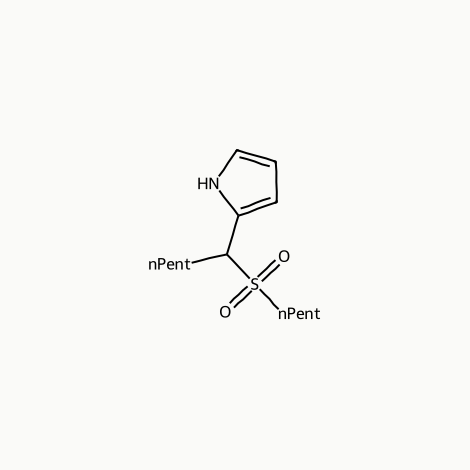 CCCCCC(c1ccc[nH]1)S(=O)(=O)CCCCC